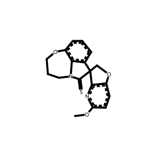 COc1ccc2c(n1)C1(CO2)C(=S)N2CCCOc3cccc1c32